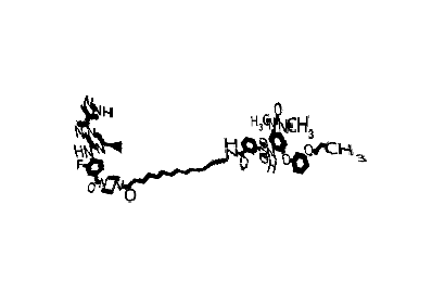 CCCOc1cccc(Oc2cc3c(cc2NS(=O)(=O)c2cccc(C(=O)NCCCCCCCCCCCCC(=O)N4CCN(C(=O)c5ccc(Nc6nc(C7CC7)cn7c(-c8cn[nH]c8)cnc67)c(F)c5)CC4)c2)n(C)c(=O)n3C)c1